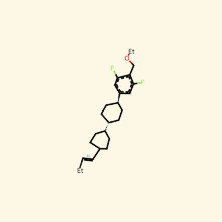 CC/C=C/C1CCC([C@H]2CC[C@H](c3cc(F)c(COCC)c(F)c3)CC2)CC1